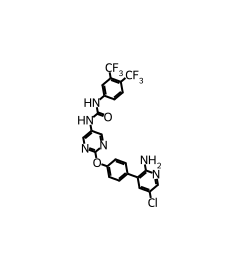 Nc1ncc(Cl)cc1-c1ccc(Oc2ncc(NC(=O)Nc3ccc(C(F)(F)F)c(C(F)(F)F)c3)cn2)cc1